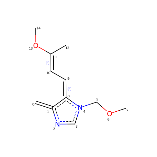 C=c1ncn(COC)/c1=C/C=C(\C)OC